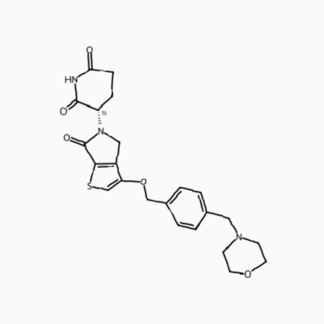 O=C1CC[C@H](N2Cc3c(OCc4ccc(CN5CCOCC5)cc4)csc3C2=O)C(=O)N1